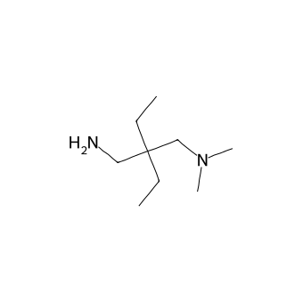 CCC(CC)(CN)CN(C)C